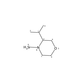 CC(C)C1COCCN1[SiH3]